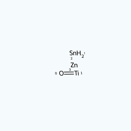 [O]=[Ti].[SnH2].[Zn]